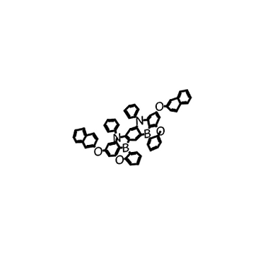 c1ccc(N2c3cc4c(cc3B3c5ccccc5Oc5cc(Oc6ccc7ccccc7c6)cc2c53)B2c3ccccc3Oc3cc(Oc5ccc6ccccc6c5)cc(c32)N4c2ccccc2)cc1